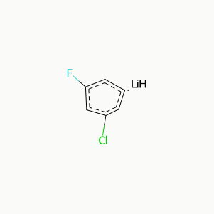 Fc1c[c]cc(Cl)c1.[LiH]